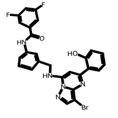 O=C(Nc1cccc(CNc2cc(-c3ccccc3O)nc3c(Br)cnn23)c1)c1cc(F)cc(F)c1